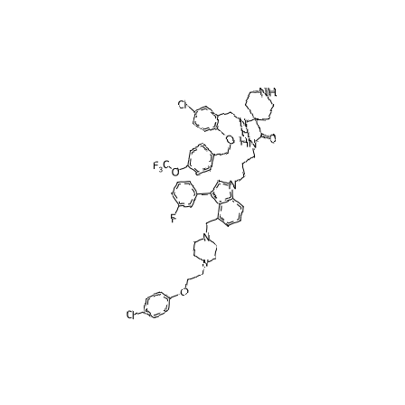 O=C(NCCCn1cc(-c2cccc(F)c2)c2c(CN3CCN(CCOc4ccc(Cl)cc4)CC3)cccc21)C1(NCc2cc(Cl)ccc2OCc2ccc(OC(F)(F)F)cc2)CCNCC1